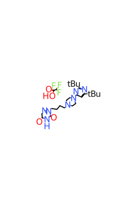 CC(C)(C)c1cc(N2CCN(CCCCn3ncc(=O)[nH]c3=O)CC2)nc(C(C)(C)C)n1.O=C(O)C(F)(F)F